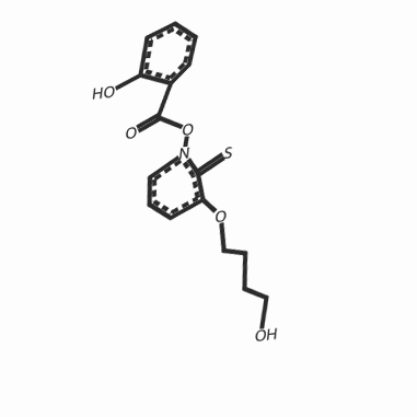 O=C(On1cccc(OCCCCO)c1=S)c1ccccc1O